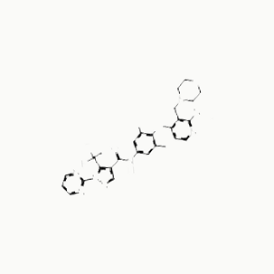 Nc1nccc(Oc2c(F)cc(NC(=O)c3cnn(-c4ncccn4)c3C(F)(F)F)cc2F)c1CN1CCOCC1